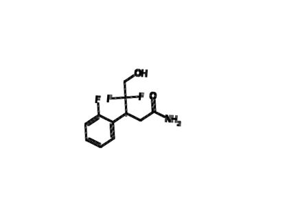 NC(=O)C[C](c1ccccc1F)C(F)(F)CO